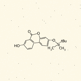 CC(C)(C)[Si](C)(C)Oc1ccc2c(c1)oc(=O)c1cc(O)ccc12